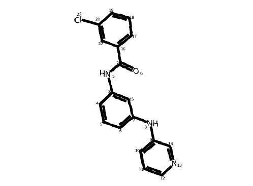 O=C(Nc1cccc(Nc2cccnc2)c1)c1cccc(Cl)c1